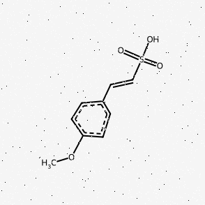 COc1ccc(C=CS(=O)(=O)O)cc1